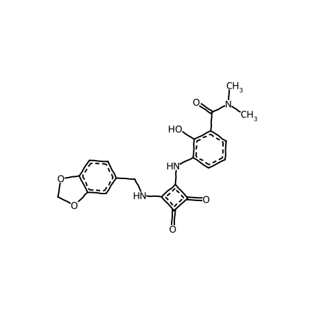 CN(C)C(=O)c1cccc(Nc2c(NCc3ccc4c(c3)OCO4)c(=O)c2=O)c1O